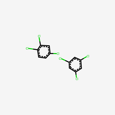 Clc1cc(Cl)cc(Cl)c1.Clc1ccc(Cl)c(Cl)c1